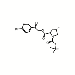 C[C@H]1CC(C(=O)OCC(=O)c2ccc(Br)cc2)N(C(=O)OC(C)(C)C)C1